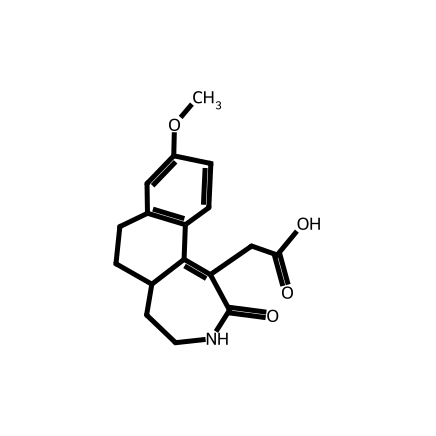 COc1ccc2c(c1)CCC1CCNC(=O)C(CC(=O)O)=C21